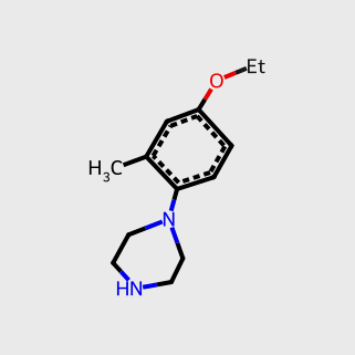 CCOc1ccc(N2CCNCC2)c(C)c1